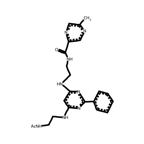 CC(=O)NCCNc1cc(NCCNC(=O)c2cnc(C)cn2)nc(-c2ccccc2)n1